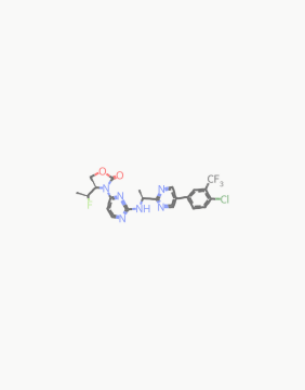 C[C@H](Nc1nccc(N2C(=O)OC[C@@H]2[C@H](C)F)n1)c1ncc(-c2ccc(Cl)c(C(F)(F)F)c2)cn1